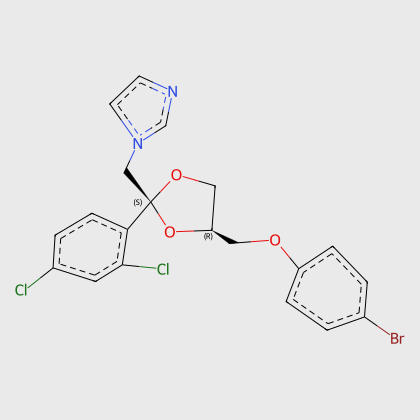 Clc1ccc([C@]2(Cn3ccnc3)OC[C@@H](COc3ccc(Br)cc3)O2)c(Cl)c1